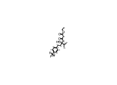 CCOC(=O)CC(=O)CC(O)(CCc1ccc(C(F)(F)F)cc1)C(C)C